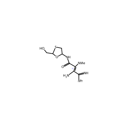 CCCC(=N)/C(N)=C(\NC)C(=O)NC1CSC(CO)O1